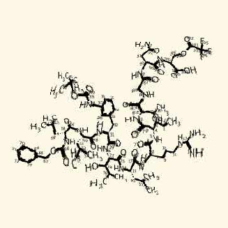 CC[C@H](C)[C@H](NC(=O)[C@@H](CCCNC(=N)N)NC(=O)[C@H](CC(C)C)NC(=O)[C@@H](NC(=O)[C@H](Cc1cccc(NC(=O)OC(C)(C)C)c1)NC(=O)[C@H](CC(C)C)NC(=O)[C@@H](CC(C)C)NC(=O)OCc1ccccc1)C(O)C(C)C)C(=O)N[C@H](C(=O)NCC(=O)N[C@@H](CC(N)=O)C(=O)N[C@@H](COC(=O)C(F)(F)F)C(=O)O)[C@@H](C)O